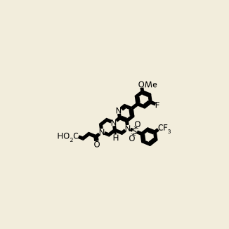 COc1cc(F)cc(-c2cnc3c(c2)N(S(=O)(=O)c2cccc(C(F)(F)F)c2)C[C@@H]2CN(C(=O)CCC(=O)O)CCN32)c1